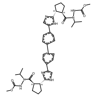 COC(=O)NN(C(=O)[C@@H]1CCC[C@H]1c1nc(-c2ccc(-c3ccc(-c4cnc([C@@H]5CCC[C@H]5C(=O)N(NC(=O)OC)C(C)C)[nH]4)cc3)cc2)c[nH]1)C(C)C